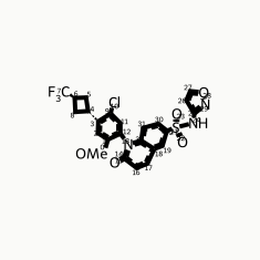 COc1cc([C@H]2C[C@H](C(F)(F)F)C2)c(Cl)cc1-n1c(=O)ccc2cc(S(=O)(=O)Nc3ccon3)ccc21